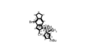 CCCCC1=C[CH]([Zr-4]([CH3])([CH3])([CH3])([CH3])([CH]2C(C)=Cc3c2cc2c(c3Br)CCC2)=[Si](C)C)C=C1